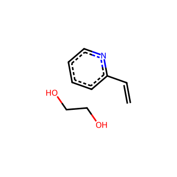 C=Cc1ccccn1.OCCO